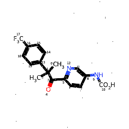 CC(C)(C(=O)c1ccc(NC(=O)O)cn1)c1ccc(C(F)(F)F)cc1